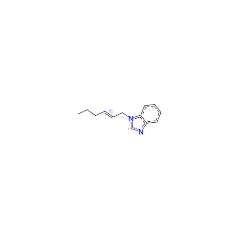 CCC/C=C/Cn1[c]nc2ccccc21